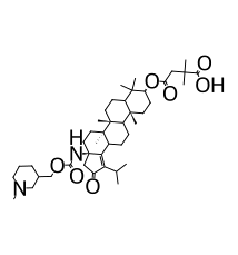 CC(C)C1=C2C3CCC4[C@@]5(C)CC[C@H](OC(=O)CC(C)(C)C(=O)O)C(C)(C)C5CC[C@@]4(C)[C@]3(C)CC[C@@]2(NC(=O)OCC2CCCN(C)C2)CC1=O